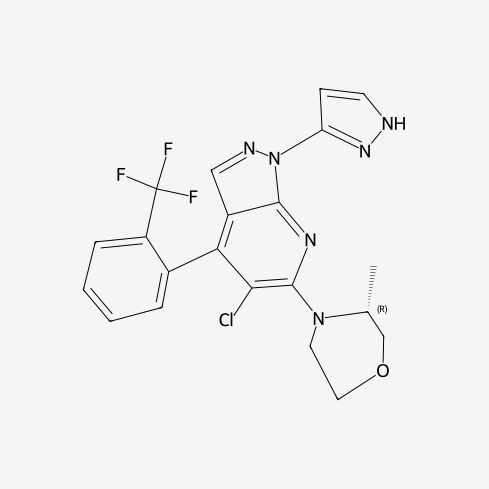 C[C@@H]1COCCN1c1nc2c(cnn2-c2cc[nH]n2)c(-c2ccccc2C(F)(F)F)c1Cl